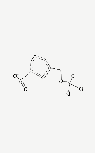 O=[N+]([O-])c1cccc(COC(Cl)(Cl)Cl)c1